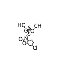 C#COP(=S)(OC#C)SCn1c(=O)oc2cc(Cl)ccc21